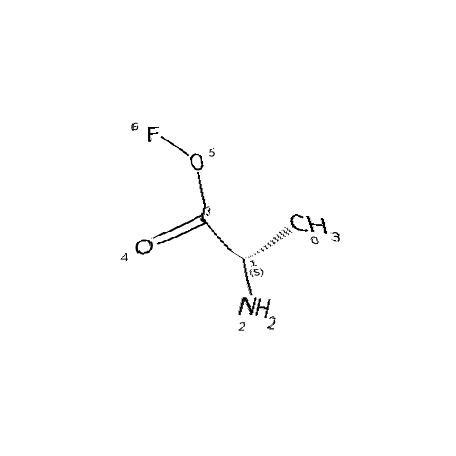 C[C@H](N)C(=O)OF